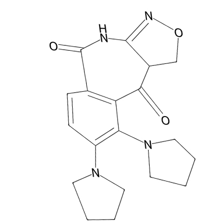 O=C1NC2=NOCC2C(=O)c2c1ccc(N1CCCC1)c2N1CCCC1